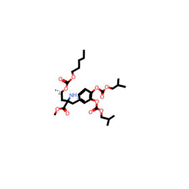 CCCCCOC(=O)O[C@@H](C)CC(N)(Cc1ccc(OC(=O)OCC(C)C)c(OC(=O)OCC(C)C)c1)C(=O)OC